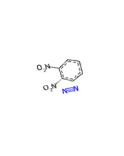 N#N.O=[N+]([O-])c1ccccc1[N+](=O)[O-]